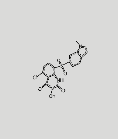 Cn1ccc2ccc(S(=O)(=O)c3ccc(Cl)c4c(=O)n(O)c(=O)[nH]c34)cc21